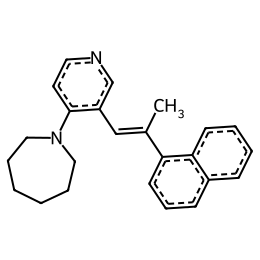 C/C(=C\c1cnccc1N1CCCCCC1)c1cccc2ccccc12